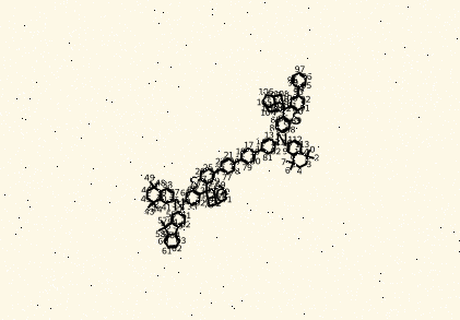 CC1(C)CCC(C)(C)c2cc(N(c3ccc(-c4ccc(-c5ccc(-c6ccc7c(c6)C6(c8ccc(N(c9ccc%10c(c9)C(C)(C)CCC%10(C)C)c9ccc%10c(c9)C(C)(C)c9ccccc9-%10)cc8S7)C7CC8CC9CC6C97C8)cc5)cc4)cc3)c3ccc4c(c3)Sc3ccc(-c5ccccc5)cc3C43C4CC5CC6CC3C64C5)ccc21